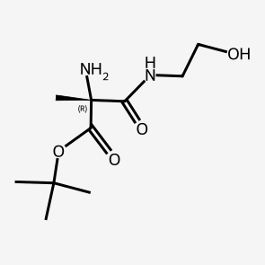 CC(C)(C)OC(=O)[C@](C)(N)C(=O)NCCO